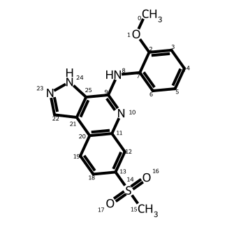 COc1c[c]ccc1Nc1nc2cc(S(C)(=O)=O)ccc2c2cn[nH]c12